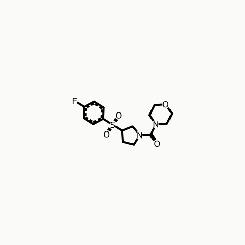 O=C(N1CCOCC1)N1CCC(S(=O)(=O)c2ccc(F)cc2)C1